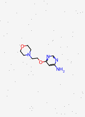 Nc1cc(OCCN2CCOCC2)ncn1